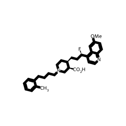 COc1ccc2nccc([C@@H](F)CC[C@@H]3CCN(CCCCc4ccccc4C)C[C@@H]3C(=O)O)c2c1